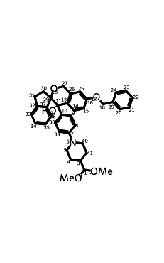 COC(OC)C1CCN(c2ccc(C3(O)c4ccc(OCc5ccccc5)cc4COC34CCc3ccccc34)cc2)CC1